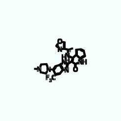 C[C@@H](Nc1c(-c2nc3cc(C(F)(F)F)c(N4CCN(C)CC4)cc3[nH]2)c(=O)[nH]c2ccccc12)c1cocn1